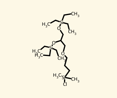 CC[Si](CC)(CC)OCC(COCCC[Si](C)(C)Cl)O[Si](CC)(CC)CC